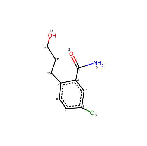 NC(=O)c1cc(Cl)ccc1C[CH]CO